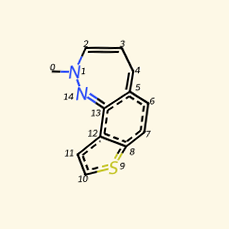 CN1C=CC=c2ccc3sccc3c2=N1